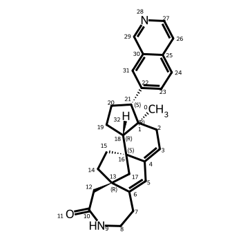 C[C@]12CC=C3C=C4CCNC(=O)C[C@]45CC[C@]3(C5)[C@@H]1CC[C@@H]2c1ccc2ccncc2c1